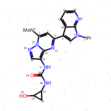 CNc1cc(-c2cn(C(C)C)c3ncccc23)nc2c(NC(=O)NC3CC3O)cnn12